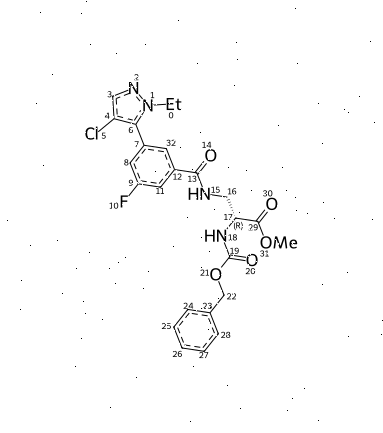 CCn1ncc(Cl)c1-c1cc(F)cc(C(=O)NC[C@@H](NC(=O)OCc2ccccc2)C(=O)OC)c1